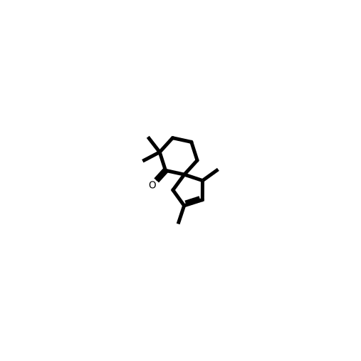 CC1=CC(C)C2(CCCC(C)(C)C2=O)C1